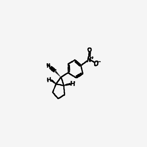 N#C[C@]1(c2ccc([N+](=O)[O-])cc2)[C@@H]2CCC[C@@H]21